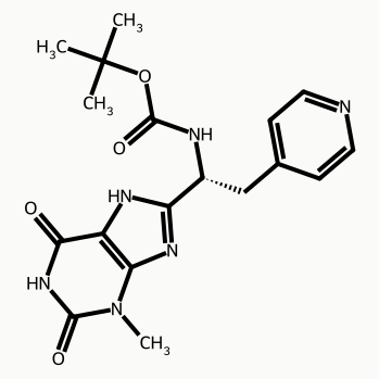 Cn1c(=O)[nH]c(=O)c2[nH]c([C@@H](Cc3ccncc3)NC(=O)OC(C)(C)C)nc21